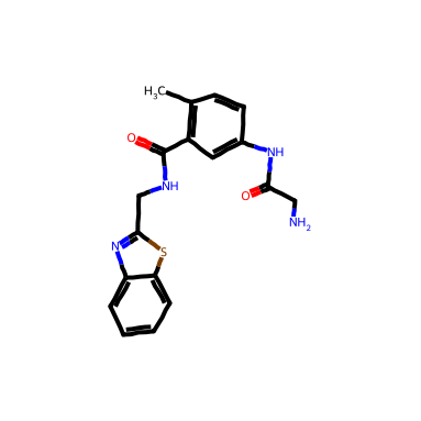 Cc1ccc(NC(=O)CN)cc1C(=O)NCc1nc2ccccc2s1